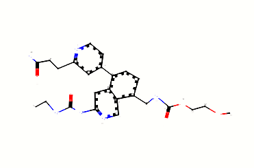 CCNC(=O)Nc1cc2c(-c3ccnc(CCC(N)=O)c3)ccc(CNC(=O)OCCOC)c2cn1